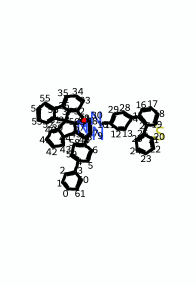 c1ccc(-c2ccc(-c3nc(-c4ccc(-c5cccc6sc7ccccc7c56)cc4)nc(-c4cccc5c4C4(c6ccccc6-c6ccccc64)c4ccccc4-5)n3)cc2)cc1